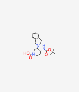 CC(C)(C)OC(=O)N[C@@H]1CCN(C(=O)O)C[C@H]1N1CCc2ccccc2C1